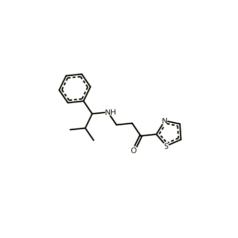 CC(C)C(NCCC(=O)c1nccs1)c1ccccc1